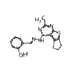 Cc1nc(N/N=C/c2ccccc2O)c2c3c(sc2n1)CCC3